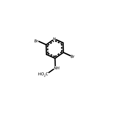 O=C(O)Nc1cc(Br)ncc1Br